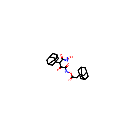 O=C(CC12CC3CC(CC(C3)C1)C2)ONC(=O)C(=O)C(C(=O)NO)C12CC3CC(CC(C3)C1)C2